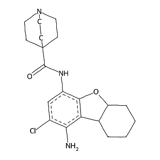 Nc1c(Cl)cc(NC(=O)C23CCN(CC2)CC3)c2c1C1CCCCC1O2